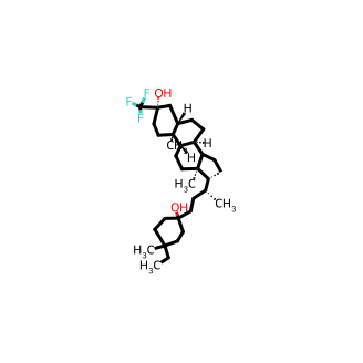 CCC1(C)CCC(O)(CC[C@@H](C)[C@H]2CCC3[C@@H]4CC[C@H]5C[C@](O)(C(F)(F)F)CC[C@]5(C)[C@H]4CC[C@@]32C)CC1